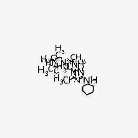 CC(C)(C[N+]1([O-])CC(C)(C)NC(C)(C)C1)Nc1nc(Cl)nc(NC2CCCCC2)n1